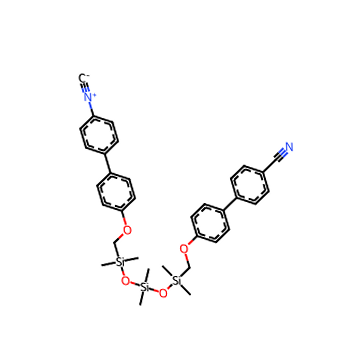 [C-]#[N+]c1ccc(-c2ccc(OC[Si](C)(C)O[Si](C)(C)O[Si](C)(C)COc3ccc(-c4ccc(C#N)cc4)cc3)cc2)cc1